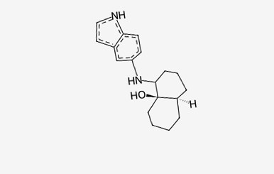 O[C@]12CCCC[C@@H]1CCCC2Nc1ccc2[nH]ccc2c1